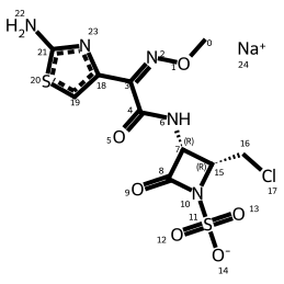 CON=C(C(=O)N[C@H]1C(=O)N(S(=O)(=O)[O-])[C@H]1CCl)c1csc(N)n1.[Na+]